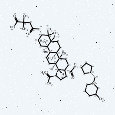 C=C(C)[C@@H]1CC[C@]2(C(=O)N[C@@H]3CC[C@H](CN4CCCC(C)C4)C3)CC[C@]3(C)[C@H](CC[C@@H]4[C@@]5(C)CC[C@H](OC(=O)CC(C)(C)C(=O)O)C(C)(C)[C@@H]5CC[C@]43C)[C@@H]12